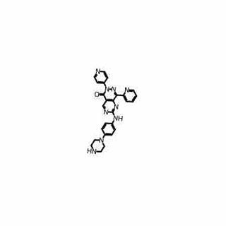 O=c1c2cnc(Nc3ccc(N4CCNCC4)cc3)nc2c(-c2ccccn2)nn1-c1ccncc1